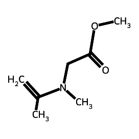 C=C(C)N(C)CC(=O)OC